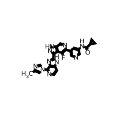 Cc1cn(-c2nccc3[nH]c(-c4n[nH]c5cnc(-c6cncc(NC(=O)C7CC7)c6)c(F)c45)nc23)cn1